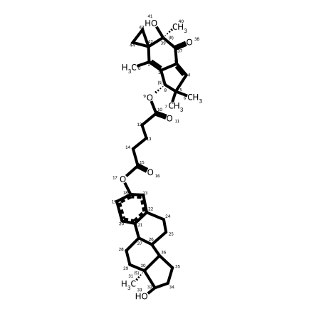 CC1=C2C(=CC(C)(C)[C@@H]2OC(=O)CCCC(=O)Oc2ccc3c(c2)CCC2C3CC[C@]3(C)C(O)CCC23)C(=O)[C@](C)(O)C12CC2